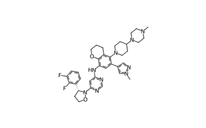 CN1CCN(C2CCN(c3c(-c4cnn(C)c4)cc(Nc4cc(N5OCC[C@@H]5c5cccc(F)c5F)ncn4)c4c3CCCO4)CC2)CC1